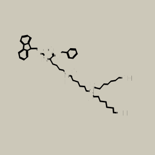 CCCCCCCC(=O)N(CCCCCC(=O)NCCCCC(NC(=O)OCC1c2ccccc2-c2ccccc21)C(=O)OCc1ccccc1)C(=O)CCCCCCC